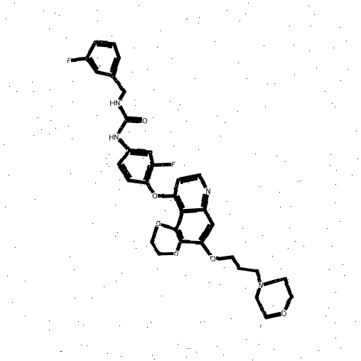 O=C(NCc1cccc(F)c1)Nc1ccc(Oc2ccnc3cc(OCCCN4CCOCC4)c4c(c23)OCCO4)c(F)c1